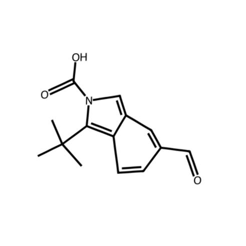 CC(C)(C)c1c2ccc(C=O)cc2cn1C(=O)O